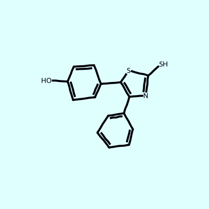 Oc1ccc(-c2sc(S)nc2-c2ccccc2)cc1